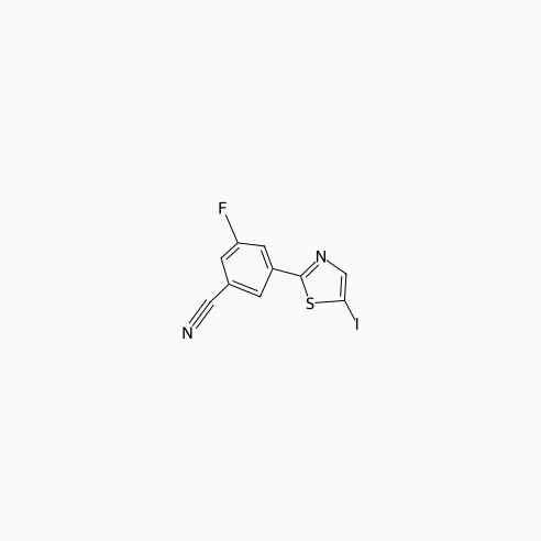 N#Cc1cc(F)cc(-c2ncc(I)s2)c1